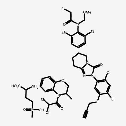 C#CCOc1cc(-n2nc3n(c2=O)CCCC3)c(Cl)cc1Cl.CC1COc2ccccc2N1C(=O)C(Cl)Cl.CCc1cccc(CC)c1N(COC)C(=O)CCl.CP(=O)(O)CCC(N)C(=O)O